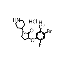 Cc1cc(OC2CCN(C3CCNCC3)C2=O)c(F)cc1Br.Cl